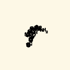 Cc1cc(Oc2ccccc2)ccc1N1C(=O)Nc2c(C(=O)N[C@@H]3CCC[C@H]3NC(=O)CN)sc3nccc1c23